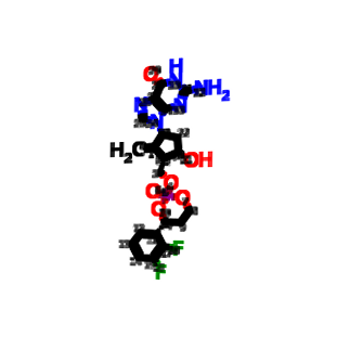 C=C1[C@H](COP2(=O)OCC[C@H](c3cccc(F)c3F)O2)[C@@H](O)C[C@@H]1n1cnc2c(=O)[nH]c(N)nc21